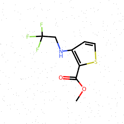 COC(=O)c1sccc1NCC(F)(F)F